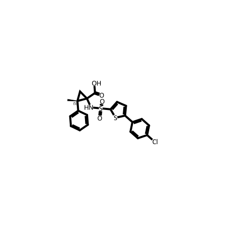 C[C@@]1(c2ccccc2)CC1(NS(=O)(=O)c1ccc(-c2ccc(Cl)cc2)s1)C(=O)O